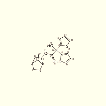 CC1C2CCC1C(OC(=O)C(O)(c1cccs1)c1cccs1)C2